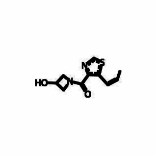 C/C=C\c1scnc1C(=O)N1CC(O)C1